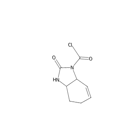 O=C(Cl)N1C(=O)NC2CCC=CC21